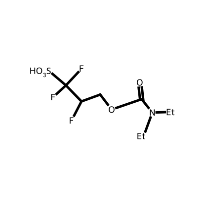 CCN(CC)C(=O)OCC(F)C(F)(F)S(=O)(=O)O